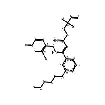 C=C/C=C\C(CN/C(=C\C(=N)CCC(C)(C)C=C)c1cccc(CCCCCC)c1)=C(C)C